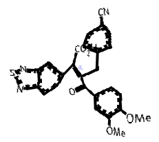 COc1ccc(C(=O)/C(Cc2ccc(C#N)cc2)=C(/C(=O)O)c2ccc3nsnc3c2)cc1OC